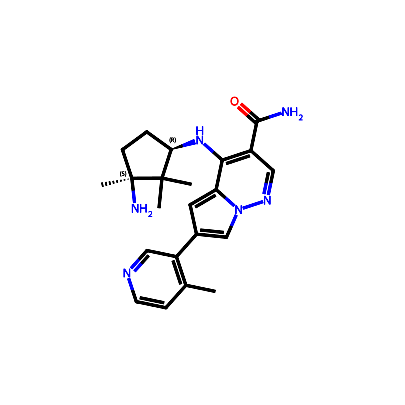 Cc1ccncc1-c1cc2c(N[C@@H]3CC[C@](C)(N)C3(C)C)c(C(N)=O)cnn2c1